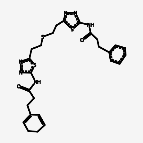 O=C(CCC1=CCCC=C1)Nc1nnc(CCSCCc2nnc(NC(=O)CCc3ccccc3)s2)s1